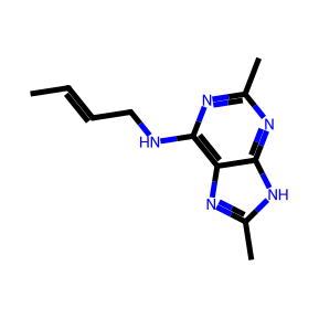 C/C=C/CNc1nc(C)nc2[nH]c(C)nc12